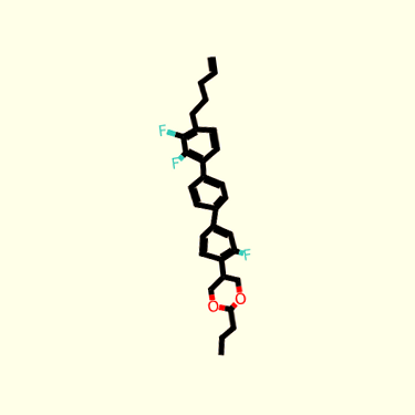 C=CCCCc1ccc(-c2ccc(-c3ccc(C4COC(CCC)OC4)c(F)c3)cc2)c(F)c1F